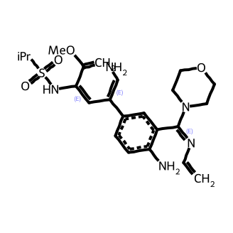 C=C/N=C(\c1cc(C(/C=C(/NS(=O)(=O)C(C)C)C(=C)OC)=C/N)ccc1N)N1CCOCC1